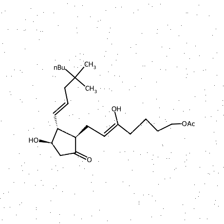 CCCCC(C)(C)C/C=C/[C@H]1[C@H](O)CC(=O)[C@@H]1C/C=C(\O)CCCCOC(C)=O